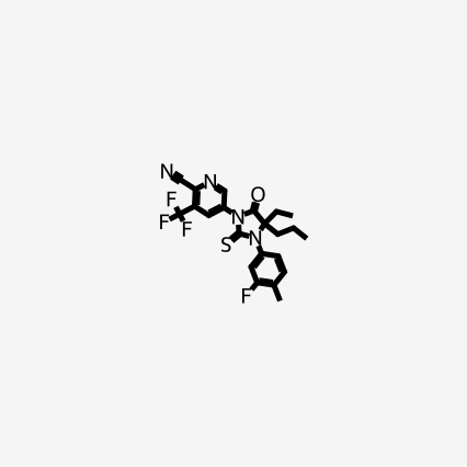 CCCC1(CC)C(=O)N(c2cnc(C#N)c(C(F)(F)F)c2)C(=S)N1c1ccc(C)c(F)c1